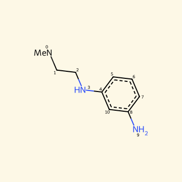 CNCCNc1cccc(N)c1